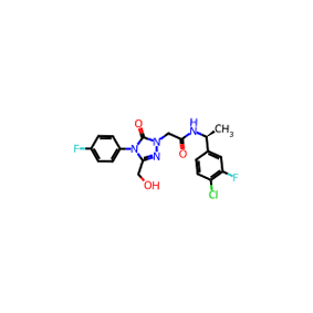 C[C@H](NC(=O)Cn1nc(CO)n(-c2ccc(F)cc2)c1=O)c1ccc(Cl)c(F)c1